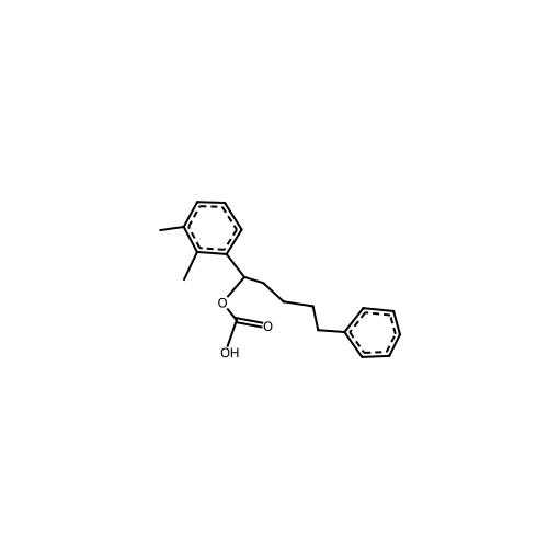 Cc1cccc(C(CCCCc2ccccc2)OC(=O)O)c1C